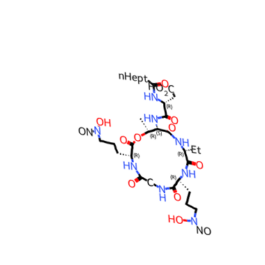 CCCCCCCC(=O)N[C@H](CC(=O)O)C(=O)N[C@@H]1C(=O)N[C@H](CC)C(=O)N[C@H](CCCN(O)N=O)C(=O)NCC(=O)N[C@H](CCCN(O)N=O)C(=O)O[C@@H]1C